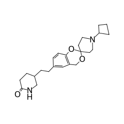 O=C1CCC(CCc2ccc3c(c2)COC2(CCN(C4CCC4)CC2)O3)CN1